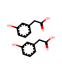 O=C(O)Cc1cccc(O)c1.O=C(O)Cc1cccc(O)c1